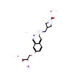 C[n+]1cc2cc(OCC(ON)C(=O)OC(C)(C)C)ccc2cc1NCC1CN(C(=O)OC(C)(C)C)C1